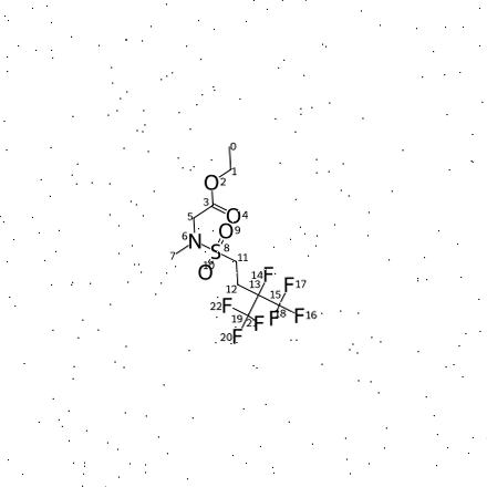 CCOC(=O)CN(C)S(=O)(=O)CCC(F)(C(F)(F)F)C(F)(F)F